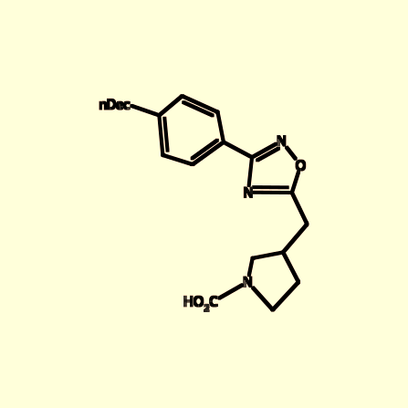 CCCCCCCCCCc1ccc(-c2noc(CC3CCN(C(=O)O)C3)n2)cc1